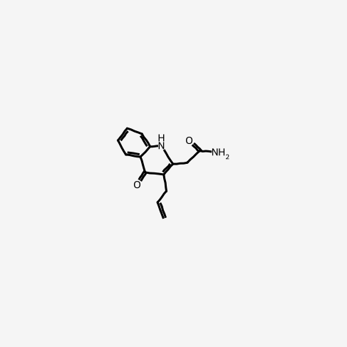 C=CCc1c(CC(N)=O)[nH]c2ccccc2c1=O